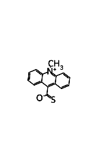 C[n+]1c2ccccc2c(C([O-])=S)c2ccccc21